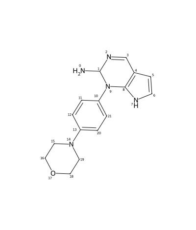 NC1N=Cc2cc[nH]c2N1c1ccc(N2CCOCC2)cc1